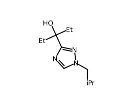 CCC(O)(CC)c1ncn(CC(C)C)n1